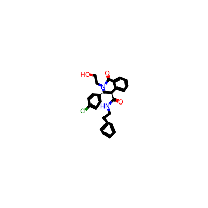 O=C(NCCc1ccccc1)[C@@H]1c2ccccc2C(=O)N(CCO)[C@H]1c1ccc(Cl)cc1